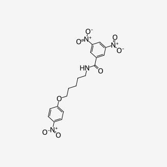 O=C(NCCCCCOc1ccc([N+](=O)[O-])cc1)c1cc([N+](=O)[O-])cc([N+](=O)[O-])c1